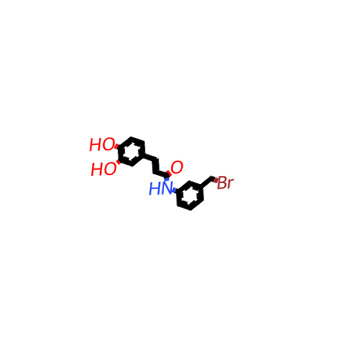 O=C(C=Cc1ccc(O)c(O)c1)Nc1cccc(CBr)c1